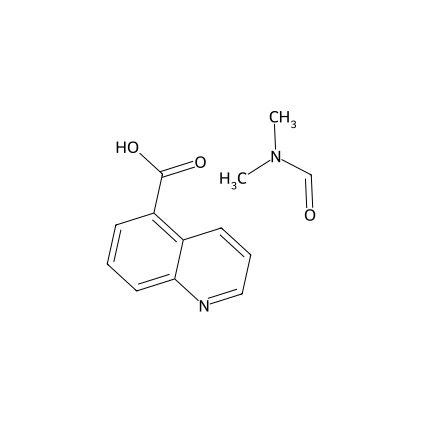 CN(C)C=O.O=C(O)c1cccc2ncccc12